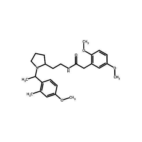 COc1ccc(C(C)N2CCCC2CCNC(=O)Cc2cc(OC)ccc2OC)c(C)c1